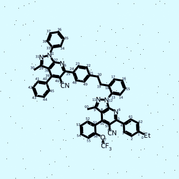 CCc1ccc(-c2nc3c(c(C)nn3-c3ccccc3CCc3ccc(-c4nc5c(c(C)nn5-c5ccccc5)c(-c5ccccc5)c4C#N)cc3)c(-c3ccccc3OC(F)(F)F)c2C#N)cc1